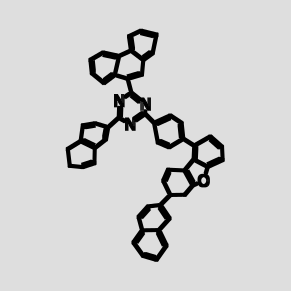 C1=Cc2cc(-c3nc(-c4ccc(-c5cccc6oc7c(c56)C=CC(c5ccc6ccccc6c5)C7)cc4)nc(-c4cc5ccccc5c5ccccc45)n3)ccc2CC1